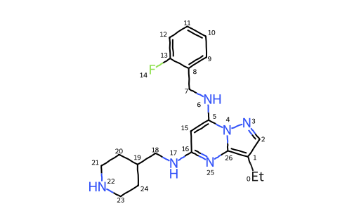 CCc1cnn2c(NCc3ccccc3F)cc(NCC3CCNCC3)nc12